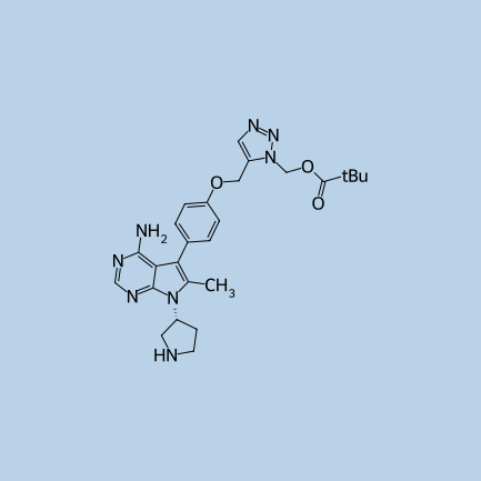 Cc1c(-c2ccc(OCc3cnnn3COC(=O)C(C)(C)C)cc2)c2c(N)ncnc2n1[C@@H]1CCNC1